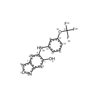 Oc1nc2nonc2nc1Nc1cccc(OC(F)(F)F)c1